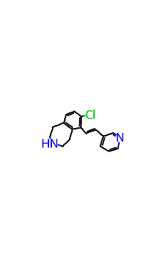 Clc1ccc2c(c1/C=C/c1cccnc1)CCNCC2